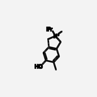 Cc1cc2c(cc1O)C[N+](C)(C(C)C)C2